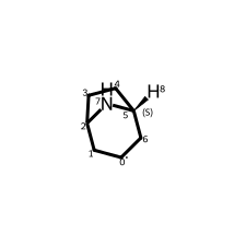 [CH]1CC2CC[C@H](C1)N2